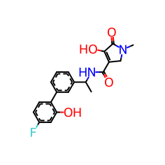 CC(NC(=O)C1=C(O)C(=O)N(C)C1)c1cccc(-c2ccc(F)cc2O)c1